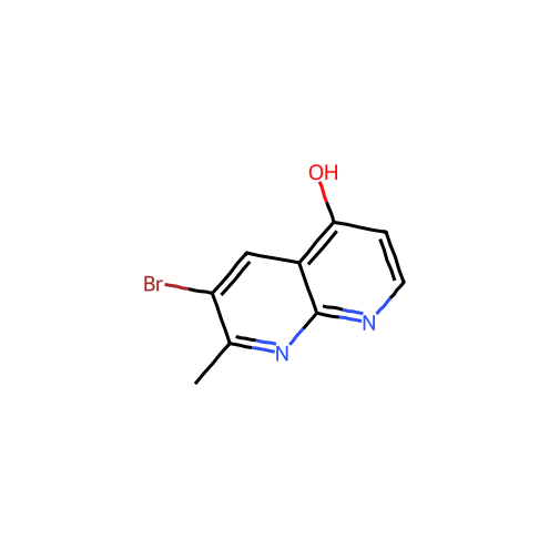 Cc1nc2nccc(O)c2cc1Br